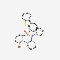 O=P1(c2cccc3c2sc2ccccc23)c2cccc(Br)c2-c2ccccc2N1c1ccccc1